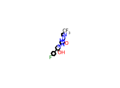 O=c1nc(N2CC=C(c3ccc(F)cc3)[C@@H](O)C2)cnn1Cn1ccc(C(F)(F)F)n1